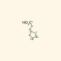 O=C(O)CCC1CSSC1